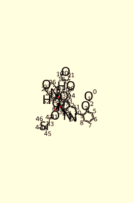 COCOc1ccccc1-c1cc2c(CCOC3CCOC3)c(C3=C[C@H]4COC[C@@H](C3)N4C(=O)OC(C)(C)C)n(COCC[Si](C)(C)C)c2nn1